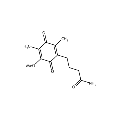 COC1=C(C)C(=O)C(C)=C(CCCC(N)=O)C1=O